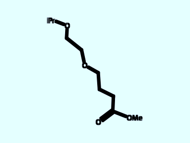 COC(=O)CCCOCCOC(C)C